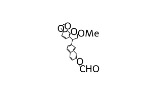 COC(=O)CC(c1ccc2c(c1)OCO2)c1ccc2ccc(OCC=O)cc2c1